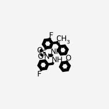 C[C@@H](c1ccc(Oc2ccccc2)cc1)c1c(F)ccc2c1NC(NCc1cccc(F)c1)=NS2(=O)=O